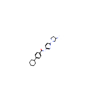 CC(=O)N(C)C1CCN(c2ccc(NC(=O)c3ccc(C4CCCCC4)cc3)cn2)C1